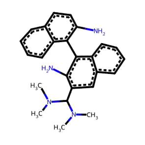 CN(C)C(c1cc2ccccc2c(-c2c(N)ccc3ccccc23)c1N)N(C)C